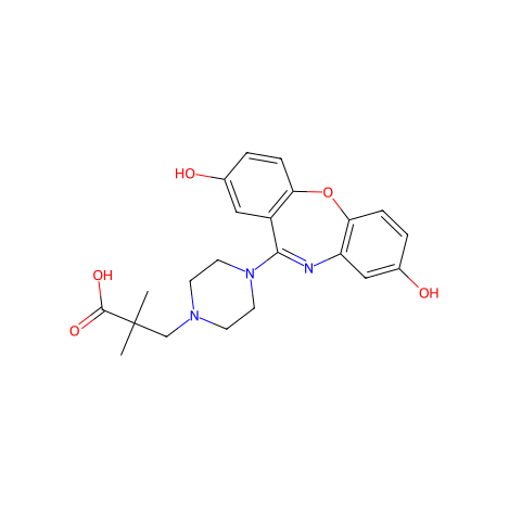 CC(C)(CN1CCN(C2=Nc3cc(O)ccc3Oc3ccc(O)cc32)CC1)C(=O)O